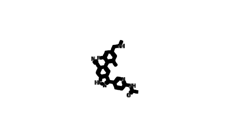 CNCc1cc(C)c(-c2cc3c(-c4ccc(NC(C)=O)nc4)n[nH]c3cc2C#N)c(F)c1